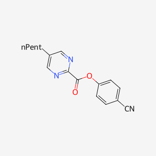 CCCCCc1cnc(C(=O)Oc2ccc(C#N)cc2)nc1